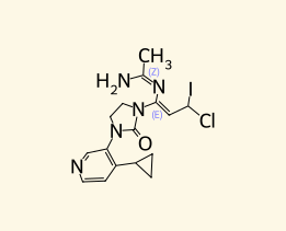 C/C(N)=N/C(=C\C(Cl)I)N1CCN(c2cnccc2C2CC2)C1=O